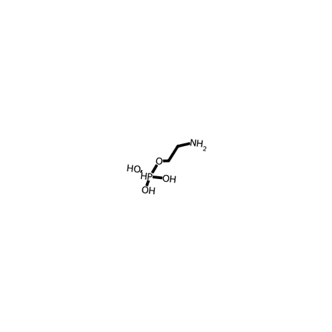 NCCO[PH](O)(O)O